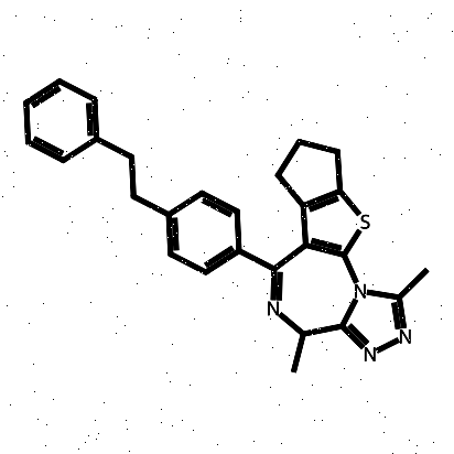 Cc1nnc2n1-c1sc3c(c1C(c1ccc(CCc4ccccc4)cc1)=NC2C)CCC3